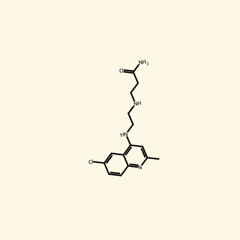 Cc1cc(NCCNCCC(N)=O)c2cc(Cl)ccc2n1